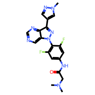 CN(C)CC(=O)Nc1cc(F)c(-n2nc(-c3cnn(C)c3)c3ncncc32)c(F)c1